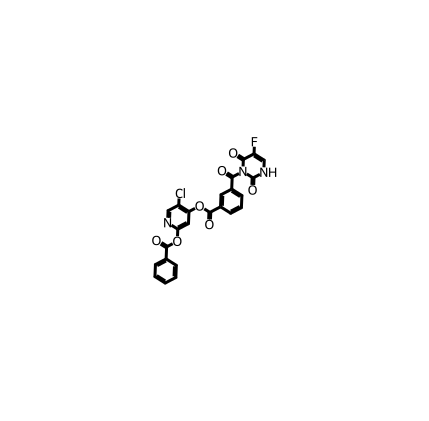 O=C(Oc1cc(OC(=O)c2cccc(C(=O)n3c(=O)[nH]cc(F)c3=O)c2)c(Cl)cn1)c1ccccc1